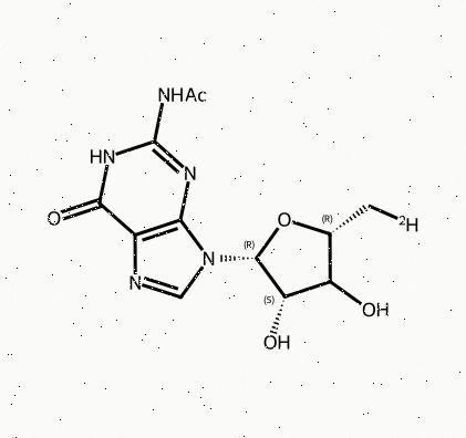 [2H]C[C@H]1O[C@@H](n2cnc3c(=O)[nH]c(NC(C)=O)nc32)[C@@H](O)C1O